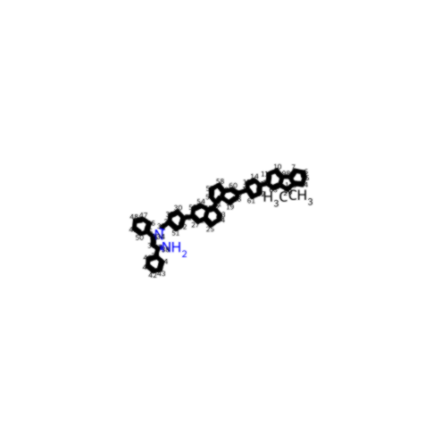 CC1(C)c2ccccc2-c2ccc(-c3ccc(-c4ccc5c(-c6cccc7cc(-c8ccc(/C=N/C(=C\C(N)c9ccccc9)c9ccccc9)cc8)ccc67)cccc5c4)cc3)cc21